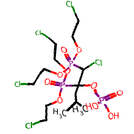 CC(C)C(OP(=O)(O)O)(C(Cl)P(=O)(OCCCl)OCCCl)P(=O)(OCCCl)OCCCl